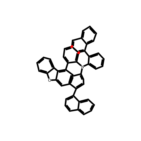 c1ccc(N(c2ccc(-c3cccc4ccccc34)cc2)c2ccccc2-c2cccc3oc4ccccc4c23)c(-c2cccc3ccccc23)c1